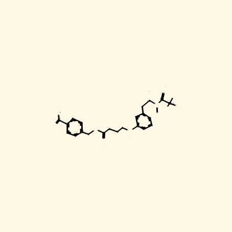 C[C@@H](Cc1cccc(OCCCC(=O)NCc2ccc(C(=O)O)cc2)c1)N(C)C(=O)C(F)(F)F